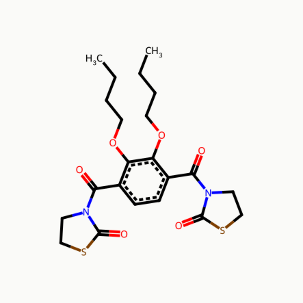 CCCCOc1c(C(=O)N2CCSC2=O)ccc(C(=O)N2CCSC2=O)c1OCCCC